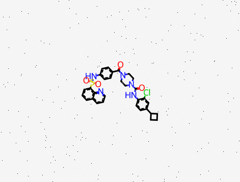 O=C(Nc1ccc(C2CCC2)cc1Cl)N1CCN(C(=O)c2ccc(NS(=O)(=O)c3cccc4cccnc34)cc2)CC1